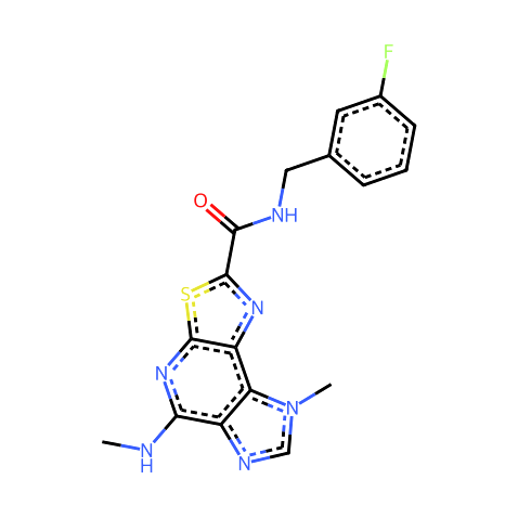 CNc1nc2sc(C(=O)NCc3cccc(F)c3)nc2c2c1ncn2C